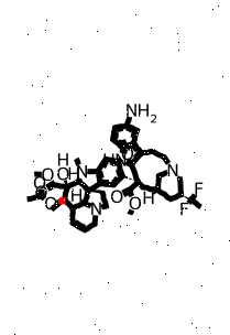 CC[C@]12C=CCN3CC[C@@]4(c5cc([C@@]6(C(=O)OC)C[C@@H]7C[C@@H](C(C)(F)F)C[N@](CCc8c6[nH]c6ccc(N)cc86)C7)c(OC)cc5N(C)[C@H]4[C@@](O)(C(=O)OC)[C@@H]1OC(C)=O)[C@@H]32